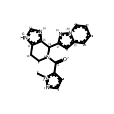 Cn1nccc1C(=O)N1CCc2[nH]cnc2C1c1cc2ccccn2n1